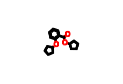 O=C(OC1CCCC1)c1ccccc1OC1CCCC1